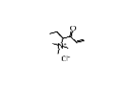 C=CC(=O)C(CC)[N+](C)(C)C.[Cl-]